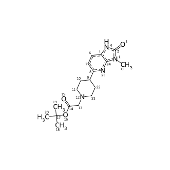 Cn1c(=O)[nH]c2ccc(C3CCN(CC(=O)OC(C)(C)C)CC3)nc21